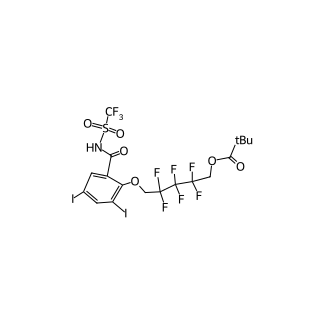 CC(C)(C)C(=O)OCC(F)(F)C(F)(F)C(F)(F)COc1c(I)cc(I)cc1C(=O)NS(=O)(=O)C(F)(F)F